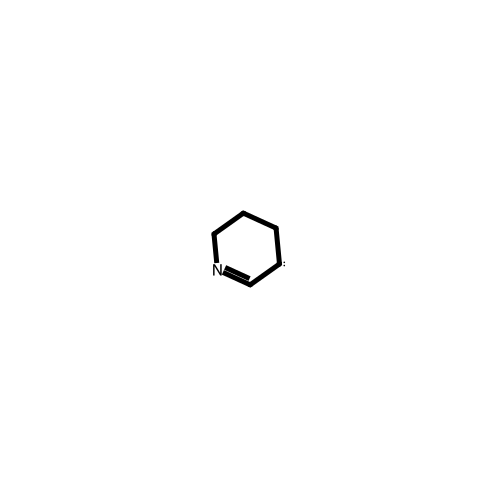 [C]1C=NCCC1